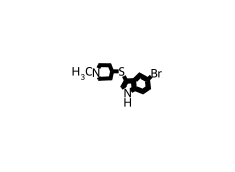 CN1CCC(Sc2c[nH]c3ccc(Br)cc23)CC1